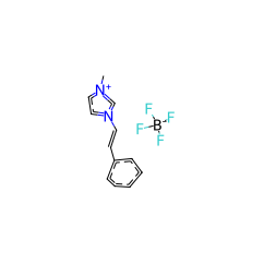 C[n+]1ccn(C=Cc2ccccc2)c1.F[B-](F)(F)F